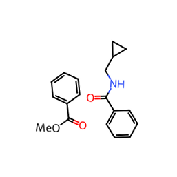 COC(=O)c1ccccc1.O=C(NCC1CC1)c1ccccc1